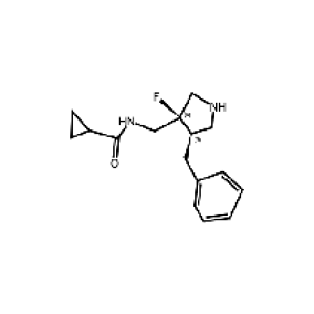 O=C(NC[C@]1(F)CNC[C@H]1Cc1ccccc1)C1CC1